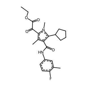 CCOC(=O)C(=O)c1c(C)c(C(=O)Nc2ccc(F)c(C)c2)c(C2CCCC2)n1C